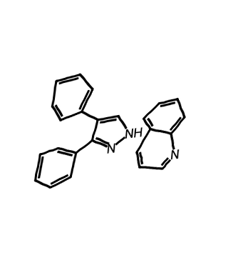 c1ccc(-c2c[nH]nc2-c2ccccc2)cc1.c1ccc2ncccc2c1